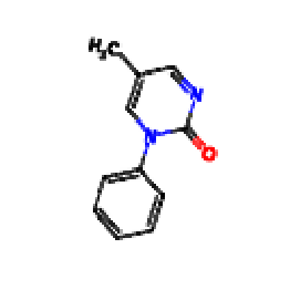 Cc1cnc(=O)n(-c2ccccc2)c1